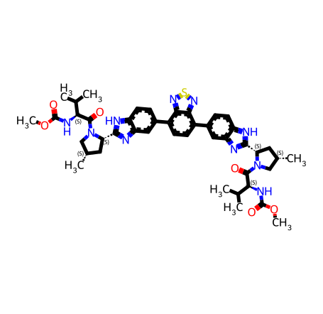 COC(=O)N[C@H](C(=O)N1C[C@@H](C)C[C@H]1c1nc2cc(-c3ccc(-c4ccc5[nH]c([C@@H]6C[C@H](C)CN6C(=O)[C@@H](NC(=O)OC)C(C)C)nc5c4)c4nsnc34)ccc2[nH]1)C(C)C